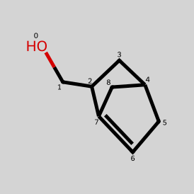 OCC1CC2CC=C1C2